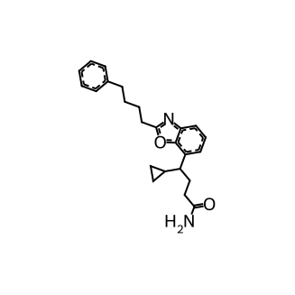 NC(=O)CCC(c1cccc2nc(CCCCc3ccccc3)oc12)C1CC1